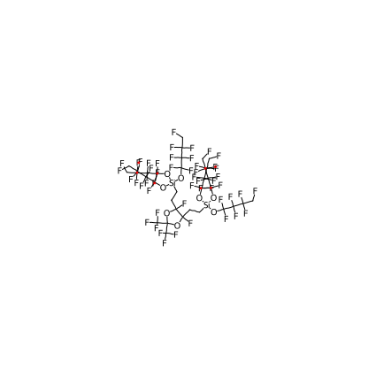 FCC(F)(F)C(F)(F)C(F)(F)O[Si](CCC1(F)OC(C(F)(F)F)(C(F)(F)F)OC1(F)CC[Si](OC(F)(F)C(F)(F)C(F)(F)CF)(OC(F)(F)C(F)(F)C(F)(F)CF)OC(F)(F)C(F)(F)C(F)(F)CF)(OC(F)(F)C(F)(F)C(F)(F)CF)OC(F)(F)C(F)(F)C(F)(F)CF